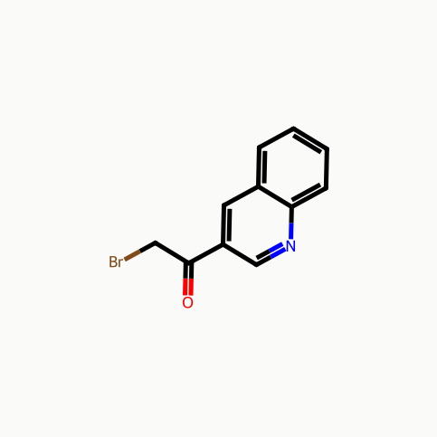 O=C(CBr)c1cnc2ccccc2c1